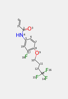 C=CC(=O)Nc1ccc(OCCCC(F)(F)F)c(F)c1